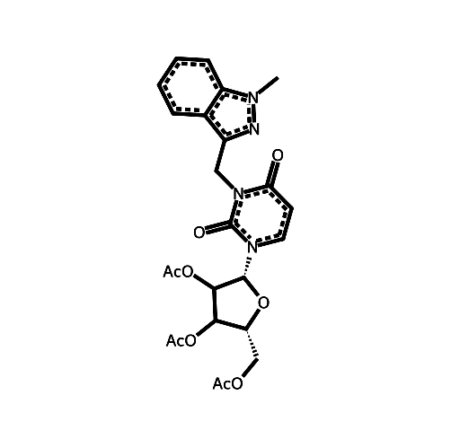 CC(=O)OC[C@H]1O[C@@H](n2ccc(=O)n(Cc3nn(C)c4ccccc34)c2=O)C(OC(C)=O)C1OC(C)=O